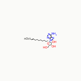 CCCCCCCCC=CCCCCCCCC[C@@]1(n2cnc3c(N)ncnc32)O[C@H](CO)[C@@H](O)[C@H]1O